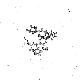 CCNc1cc(-c2ccc(N3CC4CC(C3)N4Cc3ccc(-n4cc(F)cn4)nc3)nc2)c2c(C#N)cnn2c1